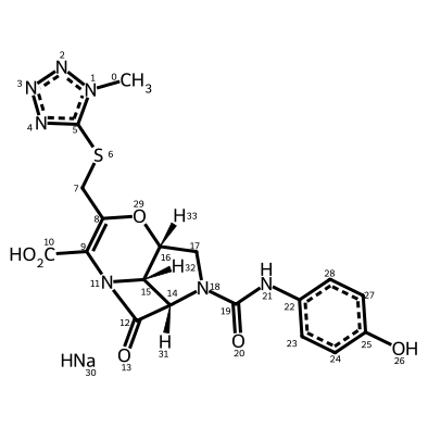 Cn1nnnc1SCC1=C(C(=O)O)N2C(=O)[C@@H]3[C@H]2[C@@H](CN3C(=O)Nc2ccc(O)cc2)O1.[NaH]